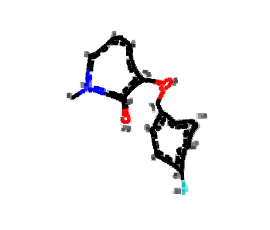 Cn1cccc(Oc2ccc(F)cc2)c1=O